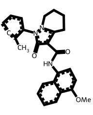 COc1ccc(NC(=O)c2c3n(n(-c4ccccc4C)c2=O)CCCC3)c2ccccc12